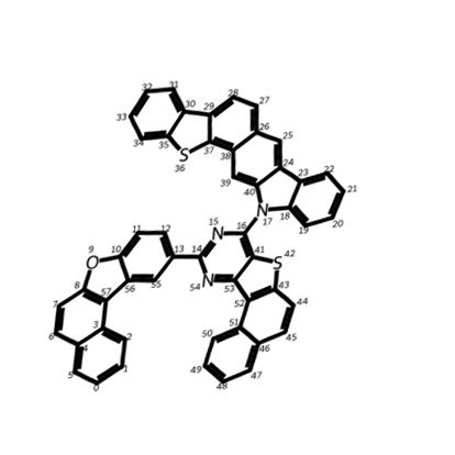 c1ccc2c(c1)ccc1oc3ccc(-c4nc(-n5c6ccccc6c6cc7ccc8c9ccccc9sc8c7cc65)c5sc6ccc7ccccc7c6c5n4)cc3c12